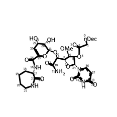 CCCCCCCCCCCC(=O)O[C@@H]1[C@H](OC)[C@@H]([C@@H](O[C@H]2OC(C(=O)N[C@H]3CCCCNC3=O)=C[C@H](O)[C@@H]2O)C(N)=O)O[C@H]1n1ccc(=O)[nH]c1=O